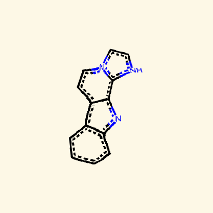 c1ccc2c3ccn4cc[nH]c4c-3nc2c1